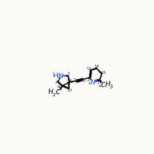 CC1=NC(C#CC23CNCC2(C)C3)=CCC1